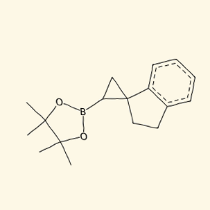 CC1(C)OB(C2CC23CCc2ccccc23)OC1(C)C